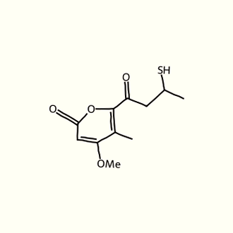 COc1cc(=O)oc(C(=O)CC(C)S)c1C